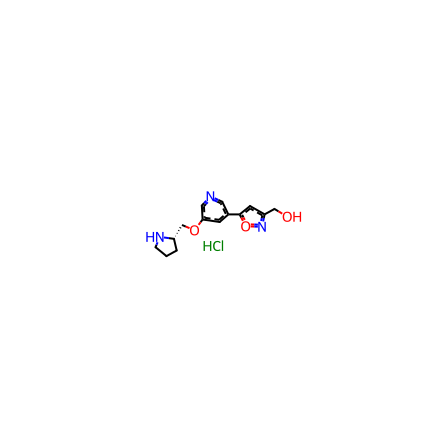 Cl.OCc1cc(-c2cncc(OC[C@@H]3CCCN3)c2)on1